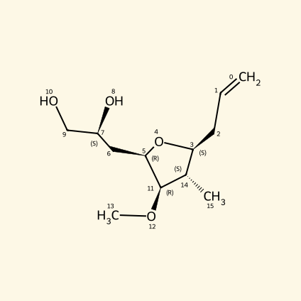 C=CC[C@@H]1O[C@H](C[C@H](O)CO)[C@H](OC)[C@H]1C